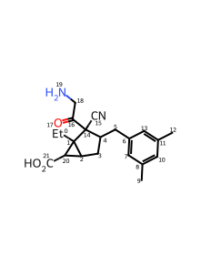 CCC12C(CC(Cc3cc(C)cc(C)c3)C1(C#N)C(=O)CN)C2C(=O)O